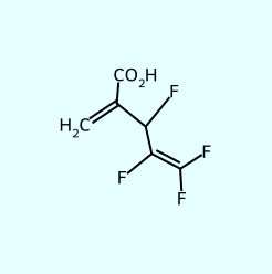 C=C(C(=O)O)C(F)C(F)=C(F)F